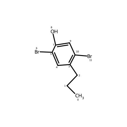 CCCc1cc(Br)c(O)cc1Br